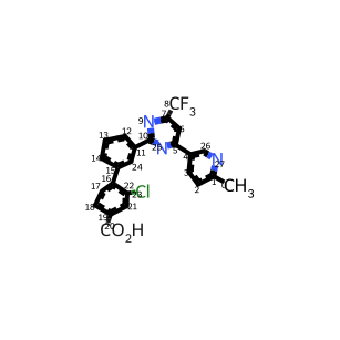 Cc1ccc(-c2cc(C(F)(F)F)nc(-c3cccc(-c4ccc(C(=O)O)cc4Cl)c3)n2)cn1